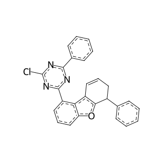 Clc1nc(-c2ccccc2)nc(-c2cccc3oc4c(c23)C=CCC4c2ccccc2)n1